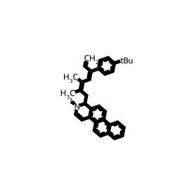 C=C/C(=C\C(C)=C(\C)CC1c2ccc3c(ccc4ccccc43)c2C=CN1I)c1ccc(C(C)(C)C)cc1